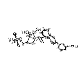 CC(C)(C)c1cccc(-c2cc3nccc(N[C@@H]4CC(COS(N)(=O)=O)[C@@H](O)[C@H]4O)n3n2)n1